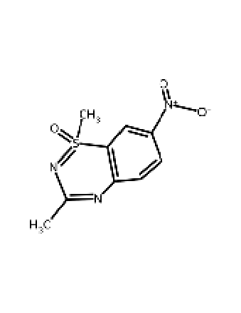 CC1=Nc2ccc([N+](=O)[O-])cc2S(C)(=O)=N1